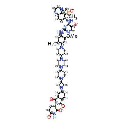 COc1cc(N2CCC(N3CCN(C4CCN(C5CN(c6ccc7c(c6)C(=O)N(C6CCC(=O)NC6=O)C7=O)C5)CC4)CC3)CC2)c(C)cc1Nc1ncc(Br)c(Nc2ccc3nccnc3c2P(C)(C)=O)n1